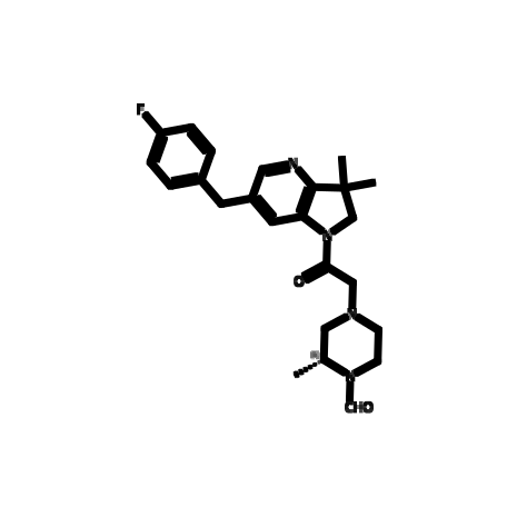 C[C@@H]1CN(CC(=O)N2CC(C)(C)c3ncc(Cc4ccc(F)cc4)cc32)CCN1C=O